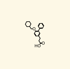 O=C(O)CCc1ccc(OCC2CCCCC2)c(-c2ccccc2)c1